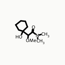 COC(C(=O)N(C)C)C1(O)CCCCC1